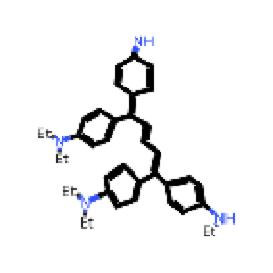 CCNc1ccc(C(=CC=CC(=C2C=CC(=N)C=C2)c2ccc(N(CC)CC)cc2)c2ccc(N(CC)CC)cc2)cc1